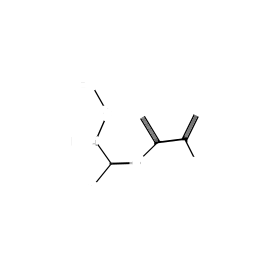 C=C(C)C(=O)OC(CCC)[SiH2]OCC